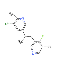 Cc1ncc(C(C)Cc2cncc(C(C)C)c2F)cc1Cl